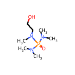 CN(C)P(=O)(N(C)C)N(C)CCO